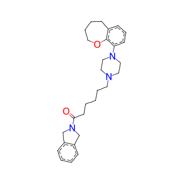 O=C(CCCCCN1CCN(c2cccc3c2OCCCC3)CC1)N1Cc2ccccc2C1